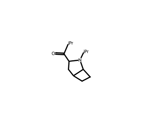 CC(C)C(=O)C1CC2CCC2N1C(C)C